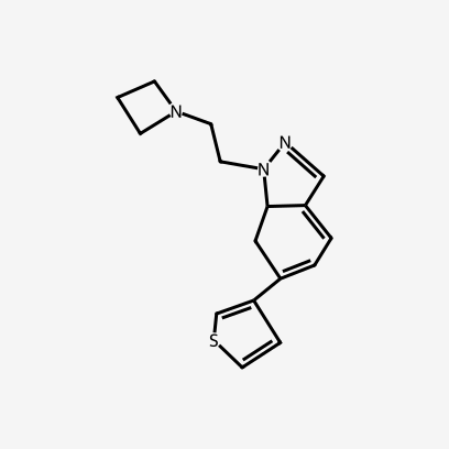 C1=NN(CCN2CCC2)C2CC(c3ccsc3)=CC=C12